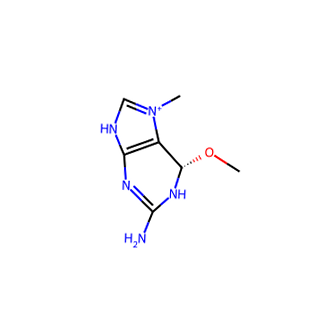 CO[C@@H]1NC(N)=Nc2[nH]c[n+](C)c21